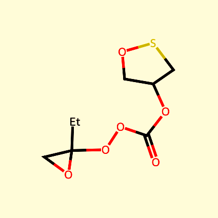 CCC1(OOC(=O)OC2COSC2)CO1